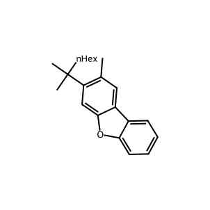 CCCCCCC(C)(C)c1cc2oc3ccccc3c2cc1C